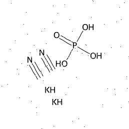 C#N.C#N.O=P(O)(O)O.[KH].[KH]